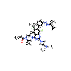 C=CC(=O)N1C[C@@H](C)N(c2nc(N3CC(N(C)C)C3)nc3c(F)c(-c4cc(N/N=C(\C)C5CC5)ccc4C)c(Cl)cc23)C[C@@H]1C